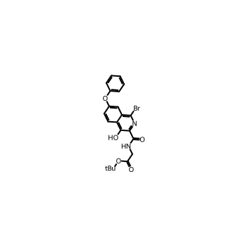 CC(C)(C)OC(=O)CNC(=O)c1nc(Br)c2cc(Oc3ccccc3)ccc2c1O